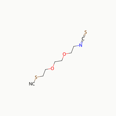 N#CSCCOCCOCCN=C=S